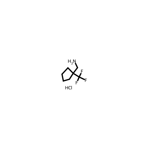 Cl.NCC1(C(F)(F)F)CCCC1